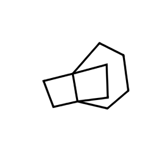 C1CCC23CCC2(C1)CC3